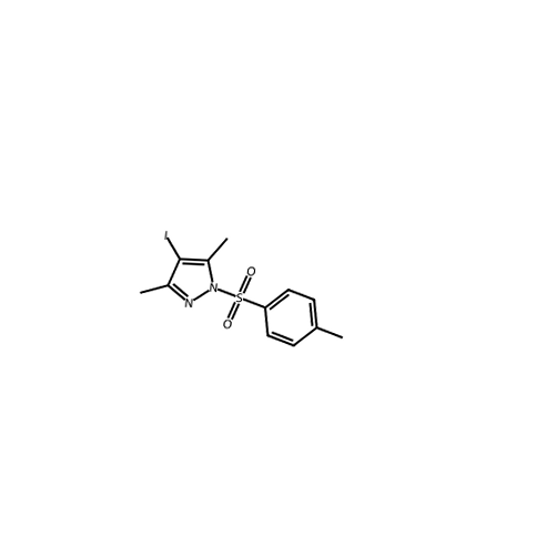 Cc1ccc(S(=O)(=O)n2nc(C)c(I)c2C)cc1